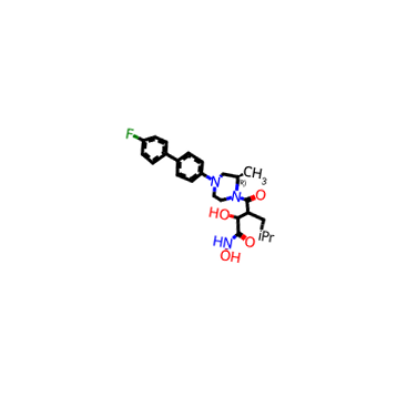 CC(C)CC(C(=O)N1CCN(c2ccc(-c3ccc(F)cc3)cc2)C[C@H]1C)C(O)C(=O)NO